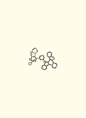 CC12C=CC=CC1c1c(nc(Cl)nc1-c1cccc(-n3c4ccccc4c4c5ccccc5c5sc6ccccc6c5c43)c1)S2